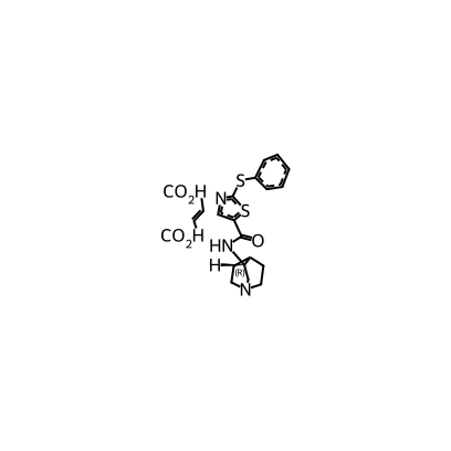 O=C(N[C@H]1CN2CCC1CC2)c1cnc(Sc2ccccc2)s1.O=C(O)C=CC(=O)O